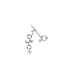 CCCN(CCCCN1CCOCCC1=O)C(C)Cc1cccc(NC(=O)c2ccc(C(C)(C)C)cc2)c1